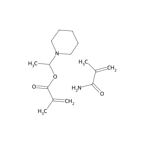 C=C(C)C(=O)OC(C)N1CCCCC1.C=C(C)C(N)=O